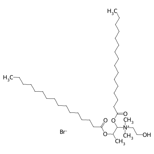 CCCCCCCCCCCCCCCC(=O)OC(C)C(OC(=O)CCCCCCCCCCCCCCC)[N+](C)(C)CCO.[Br-]